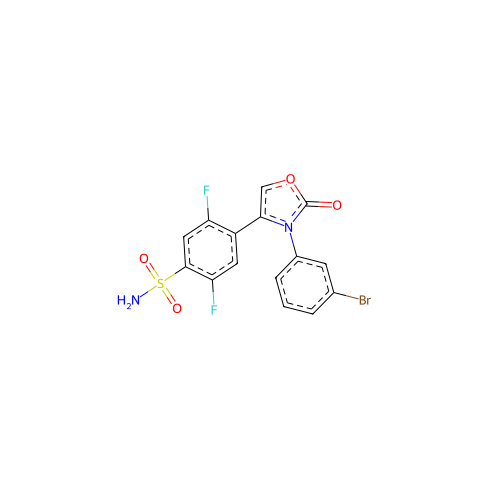 NS(=O)(=O)c1cc(F)c(-c2coc(=O)n2-c2cccc(Br)c2)cc1F